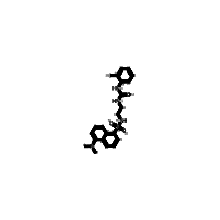 CN(C)c1cccc2c(S(=O)(=O)NCCNC(=O)Nc3ccccc3I)cccc12